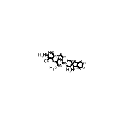 Cc1nc(N2CCC3(CC2)Cc2ccccc2[C@H]3N)n2ccnc2c1Sc1ccnc(N)c1Cl